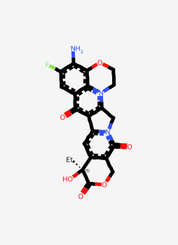 CC[C@@]1(O)C(=O)OCc2c1cc1n(c2=O)Cc2c-1c(=O)c1cc(F)c(N)c3c1n2CCO3